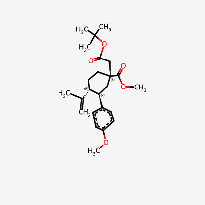 C=C(C)[C@@H]1CC[C@](CC(=O)OC(C)(C)C)(C(=O)OC)C[C@H]1c1ccc(OC)cc1